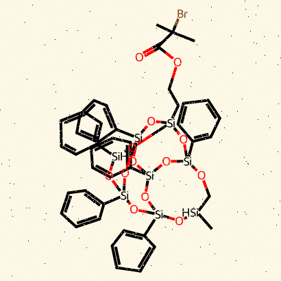 C[SiH]1CO[Si]2(c3ccccc3)O[Si]3(CCOC(=O)C(C)(C)Br)O[SiH](c4ccccc4)O[Si]4(c5ccccc5)O[Si](c5ccccc5)(O1)O[Si](c1ccccc1)(O2)O[Si](c1ccccc1)(O3)O4